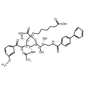 COc1cccc(C(=O)N[C@@H]2[C@@H](NC(C)=O)[C@H]([C@H](O)[C@H](O)CNC(=O)c3ccc(-c4ccccc4)cc3)O[C@@](OCCCCCC(=O)O)(C(=O)O)[C@H]2O)c1